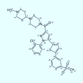 CN1CCC(N2CCN(C(=O)c3cc(-c4ccc(-c5cccc(S(C)(=O)=O)c5)s4)n(-c4ccccc4Cl)n3)CC2)CC1